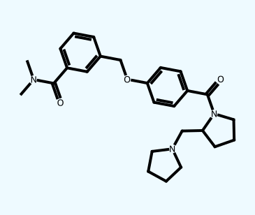 CN(C)C(=O)c1cccc(COc2ccc(C(=O)N3CCCC3CN3CCCC3)cc2)c1